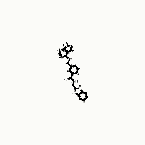 O=C(NCC1Oc2ccccc2O1)c1cccc(CSc2ncnc3[nH]ncc23)c1